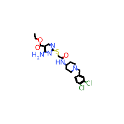 CCOC(=O)c1cnc(SCC(=O)NC2CCN(Cc3ccc(Cl)c(Cl)c3)CC2)nc1N